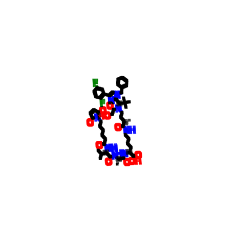 CC(C)[C@H](NC(=O)CCCCCN1C(=O)C=CC1=O)C(=O)N[C@@H](C)C(=O)N[C@@H](CCCCNC(=O)[C@@H](C)CCN(C(=O)CO)[C@@H](c1nc(-c2cc(F)ccc2F)cn1Cc1ccccc1)C(C)(C)C)C(=O)O